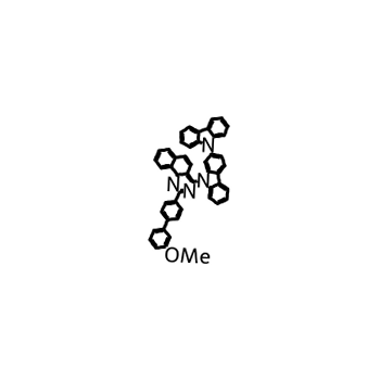 COc1cccc(-c2ccc(-c3nc(-n4c5ccccc5c5ccc(-n6c7ccccc7c7ccccc76)cc54)c4ccc5ccccc5c4n3)cc2)c1